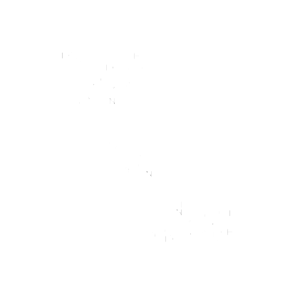 C=CCOC(=O)C(Cc1ccc(OC(=O)NCCCC(NC(=O)OC(C)(C)C)C(=O)O)cc1)NC(=O)OC(C)(C)C